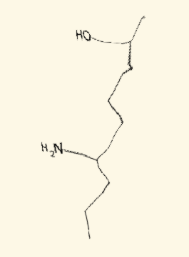 CCCC(N)CCCC(C)O